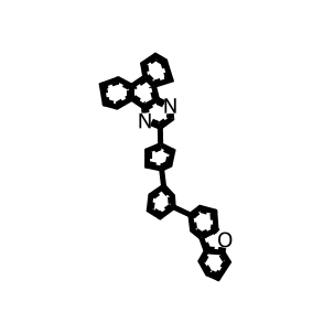 c1cc(-c2ccc(-c3cnc4c5ccccc5c5ccccc5c4n3)cc2)cc(-c2ccc3oc4ccccc4c3c2)c1